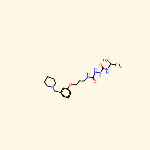 CC(C)NC(=O)NNC(=O)NCCCOc1cccc(CN2CCCCC2)c1